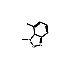 CC1=CC=CC2=NON(C)C12